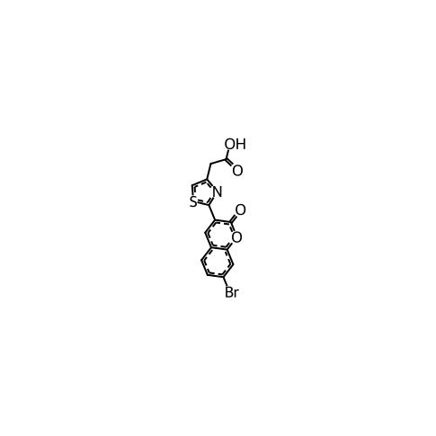 O=C(O)Cc1csc(-c2cc3ccc(Br)cc3oc2=O)n1